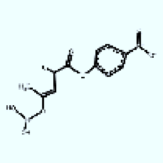 C/C(=C\C(C)C(=O)Oc1ccc([N+](=O)[O-])cc1)ON(O)O